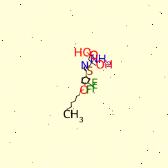 CCCCCCCCOc1ccc(-c2cnc(C(N)(CO)CC(=O)O)s2)cc1C(F)(F)F